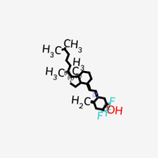 C=C1CC(F)(F)[C@@](O)(F)C/C1=C/C=C1CCC[C@@]2(C)C1CC[C@@H]2[C@H](C)CCCC(C)C